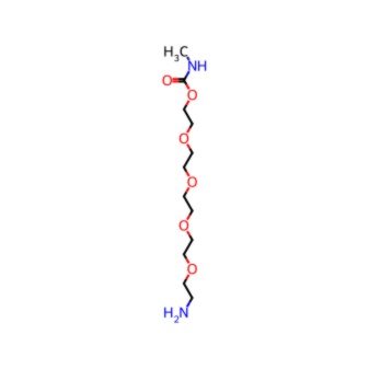 CNC(=O)OCCOCCOCCOCCOCCN